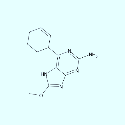 COc1nc2nc(N)nc(C3C=CCCC3)c2[nH]1